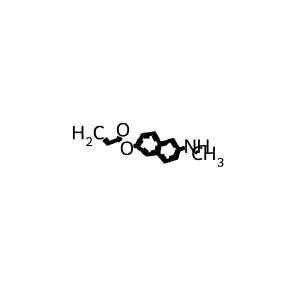 C=CC(=O)Oc1ccc2cc(NC)ccc2c1